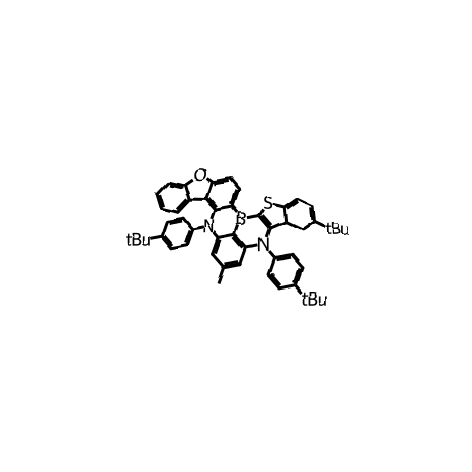 Cc1cc2c3c(c1)N(c1ccc(C(C)(C)C)cc1)c1c(ccc4oc5ccccc5c14)B3C1=C(C3CC(C(C)(C)C)=CC=C3S1)N2c1ccc(C(C)(C)C)cc1